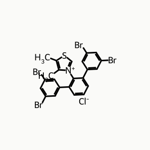 Cc1sc[n+](-c2c(-c3cc(Br)cc(Br)c3)cccc2-c2cc(Br)cc(Br)c2)c1C.[Cl-]